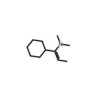 C/C=C(/C1CCCCC1)N(C)C